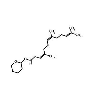 CC(C)=CCCC(C)=CCCC(C)=CCNOC1CCCCO1